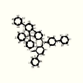 CC1C=C(N(c2ccc(-c3ccccc3)cc2)c2ccc3c(c2)C(c2ccccc2)(c2ccccc2)c2cc(-c4ccccc4)ccc2-3)C=CC1c1ccccc1